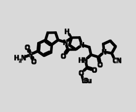 CC(C)(C)OC(=O)NC(CN1C[C@@H]2CC1C(=O)N2C1CCc2cc(S(N)(=O)=O)ccc21)C(=O)N1CCCC1C#N